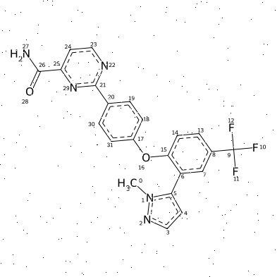 Cn1nccc1-c1cc(C(F)(F)F)ccc1Oc1ccc(-c2nccc(C(N)=O)n2)cc1